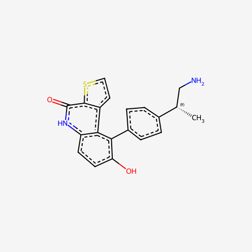 C[C@@H](CN)c1ccc(-c2c(O)ccc3[nH]c(=O)c4sccc4c23)cc1